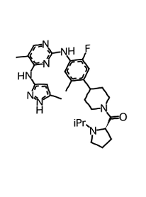 Cc1cc(Nc2nc(Nc3cc(C)c(C4CCN(C(=O)[C@H]5CCCN5C(C)C)CC4)cc3F)ncc2C)n[nH]1